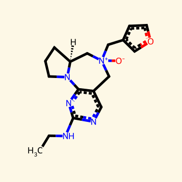 CCNc1ncc2c(n1)N1CCC[C@H]1C[N+]([O-])(Cc1ccoc1)C2